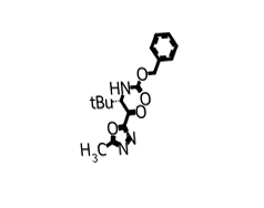 Cc1nnc(C(=O)[C@@H](NC(=O)OCc2ccccc2)C(C)(C)C)o1